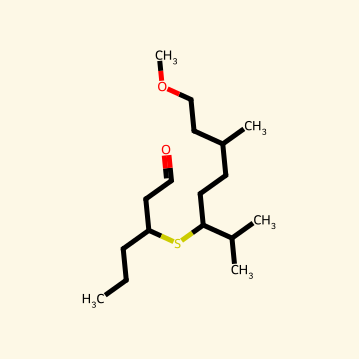 CCCC(CC=O)SC(CCC(C)CCOC)C(C)C